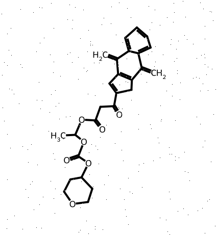 C=c1c2c(c(=C)c3ccccc13)CC(C(=O)CC(=O)OC(C)OC(=O)OC1CCOCC1)=C2